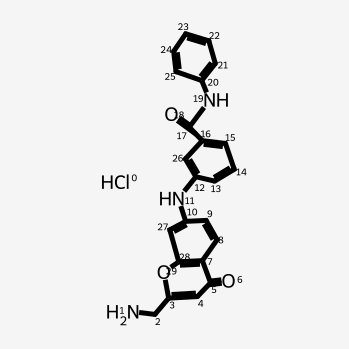 Cl.NCc1cc(=O)c2ccc(Nc3cccc(C(=O)Nc4ccccc4)c3)cc2o1